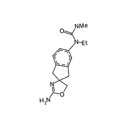 CCN(C(=O)NC)c1ccc2c(c1)CC1(COC(N)=N1)C2